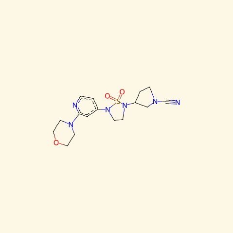 N#CN1CCC(N2CCN(c3ccnc(N4CCOCC4)c3)S2(=O)=O)C1